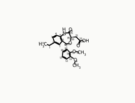 CCc1ccc2c(c1)[C@@H](c1cccc(OC)c1OC)O[C@H](CC(=O)O)C(=O)N2